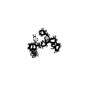 Nc1c(N=Nc2ccc(-c3c(OCc4cccnc4)ccc4c3sc3ccccc34)nc2)cc(S(=O)(=O)O)c2ccccc12